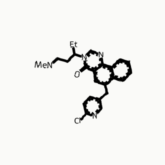 CCC(CCNC)n1cnc2c(cc(Cc3ccc(Cl)nc3)c3ccccc32)c1=O